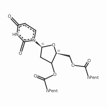 CCCCCC(=O)OC[C@@H]1O[C@H](n2ccc(=O)[nH]c2=O)CC1OC(=O)CCCCC